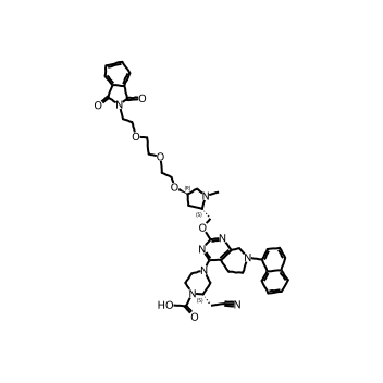 CN1C[C@H](OCCOCCOCCN2C(=O)c3ccccc3C2=O)C[C@H]1COc1nc2c(c(N3CCN(C(=O)O)[C@@H](CC#N)C3)n1)CCN(c1cccc3ccccc13)C2